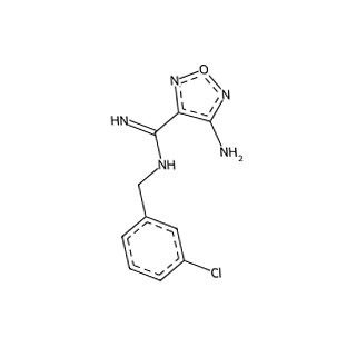 N=C(NCc1cccc(Cl)c1)c1nonc1N